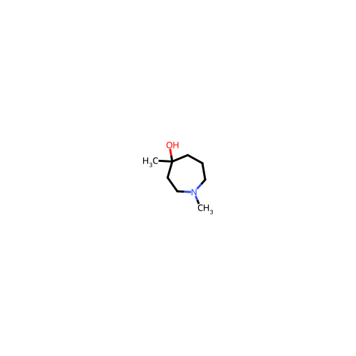 CN1CCCC(C)(O)CC1